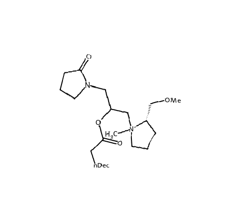 CCCCCCCCCCCC(=O)OC(CN1CCCC1=O)C[N+]1(C)CCC[C@H]1COC